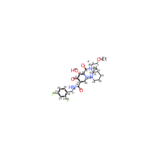 CCOC[C@@H](C)N1C(=O)c2c(O)c(=O)c(C(=O)NCc3ccc(F)cc3F)cn2N2CCCC[C@@H]12